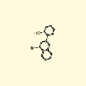 Oc1ccccc1-c1cc(Br)c2ccccc2c1